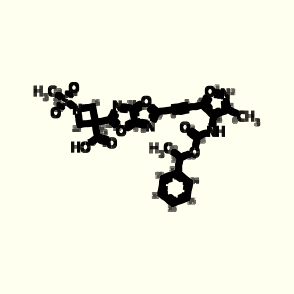 Cc1noc(C#Cc2nc3oc(C4(C(=O)O)CN(S(C)(=O)=O)C4)nc3o2)c1NC(=O)OC(C)c1ccccc1